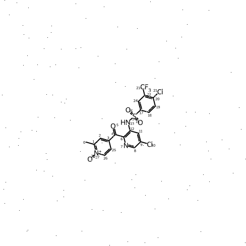 Cc1cc(C(=O)c2ncc(Cl)cc2NS(=O)(=O)c2ccc(Cl)c(C(F)(F)F)c2)cc[n+]1[O-]